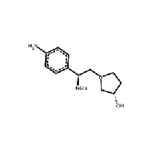 CN[C@H](CN1CC[C@H](O)C1)c1ccc(N)cc1